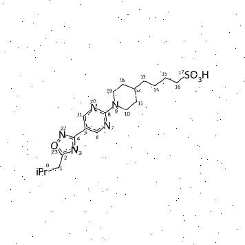 CC(C)Cc1nc(-c2cnc(N3CCC(CCCCS(=O)(=O)O)CC3)nc2)no1